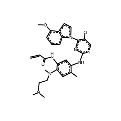 C=CC(=O)Nc1cc(Nc2ncc(Cl)c(-n3ccc4c(OC)cccc43)n2)c(C)cc1N(C)CCN(C)C